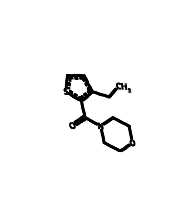 CCc1ccsc1C(=O)N1CCOCC1